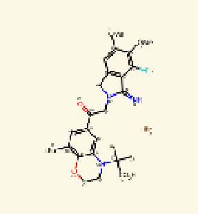 Br.COc1cc2c(c(F)c1OC)C(=N)N(CC(=O)c1cc3c(c(C(C)(C)C)c1)OCCN3C(C)(C)C(=O)O)C2